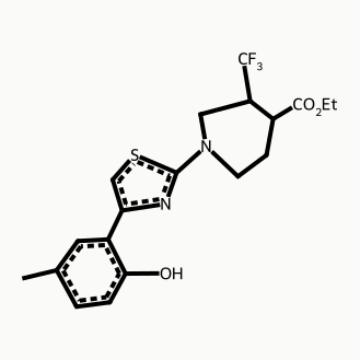 CCOC(=O)C1CCN(c2nc(-c3cc(C)ccc3O)cs2)CC1C(F)(F)F